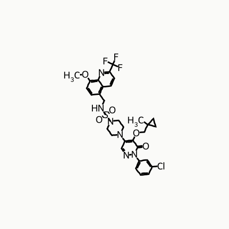 COc1ccc(CNS(=O)(=O)N2CCN(c3cnn(-c4cccc(Cl)c4)c(=O)c3OCC3(C)CC3)CC2)c2ccc(C(F)(F)F)nc12